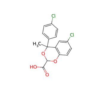 CC1(c2ccc(Cl)cc2)OC(C(=O)O)Oc2ccc(Cl)cc21